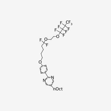 CCCCCCCCc1cnc(-c2ccc(OCCCCC(F)(F)OCCOC(F)(F)C(F)(F)C(F)(F)C(F)(F)F)cc2)nc1